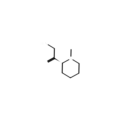 CN1CCCC[C@H]1C(=O)CN